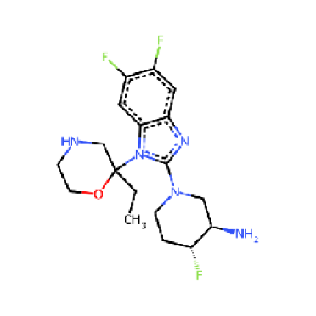 CCC1(n2c(N3CC[C@@H](F)[C@H](N)C3)nc3cc(F)c(F)cc32)CNCCO1